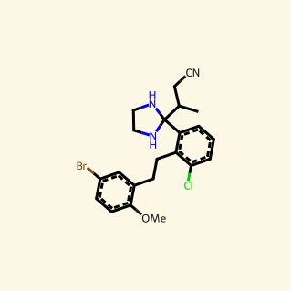 COc1ccc(Br)cc1CCc1c(Cl)cccc1C1(C(C)CC#N)NCCN1